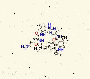 C=CC(=O)N[C@@H](CCCCN)C(=O)Nc1cccc(Nc2ncc(NC(=O)c3cc(NC(=C)c4cccc(C(F)(F)F)c4)ccc3C)cn2)c1